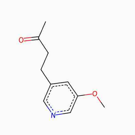 COc1cncc(CCC(C)=O)c1